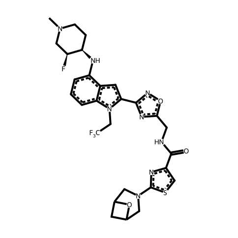 CN1CC[C@@H](Nc2cccc3c2cc(-c2noc(CNC(=O)c4csc(N5CC6CC(C5)O6)n4)n2)n3CC(F)(F)F)[C@@H](F)C1